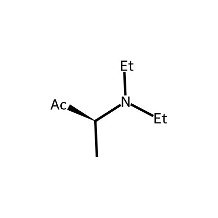 CCN(CC)[C@@H](C)C(C)=O